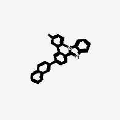 Cc1ccc2c(c1)c1cc(-c3ccc4ccccc4c3)ccc1c1nc3ccccc3n21